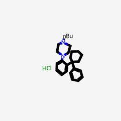 CCCCN1CCN(c2ccccc2C2(c3ccccc3)CCCCC2)CC1.Cl